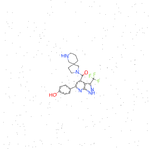 O=C(c1cc(-c2ccc(O)cc2)nc2[nH]nc(C(F)(F)F)c12)N1CCC2(CCCNC2)C1